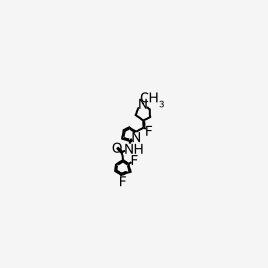 CN1CCC(=C(F)c2cccc(NC(=O)c3ccc(F)cc3F)n2)CC1